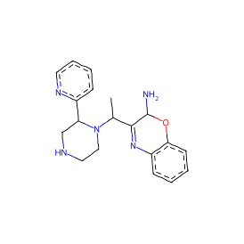 CC(C1=Nc2ccccc2OC1N)N1CCNCC1c1ccccn1